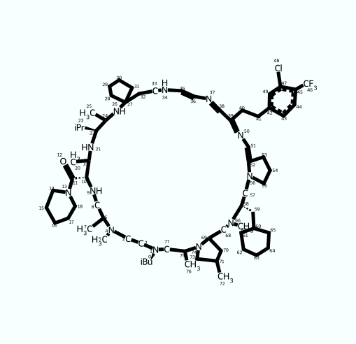 CC[C@H](C)N1CCN(C)C(C)CN[C@H](C(=O)N2CCCCC2)C(C)N[C@@H](C(C)C)C(C)NC2(CCCC2)CCNC=CN=CC(CCc2ccc(C(F)(F)F)c(Cl)c2)=NC=C2CCCN2C[C@H](CC2CCCCC2)N(C)CC2CC(C)CN2C(C)C1